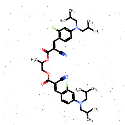 CC(C)CN(CC(C)C)c1ccc(/C=C(\C#N)C(=O)OCC(C)OC(=O)/C(C#N)=C/c2ccc(N(CC(C)C)CC(C)C)cc2F)c(F)c1